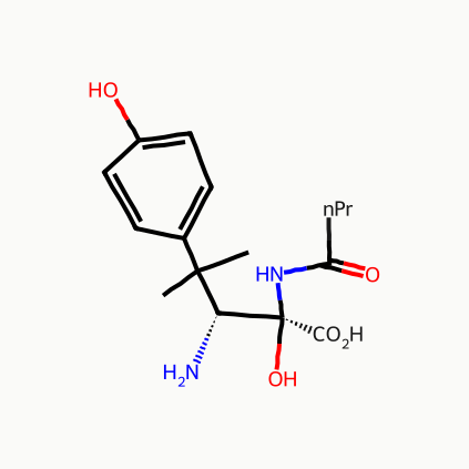 CCCC(=O)N[C@](O)(C(=O)O)[C@H](N)C(C)(C)c1ccc(O)cc1